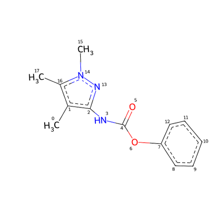 Cc1c(NC(=O)Oc2ccccc2)nn(C)c1C